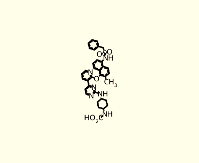 Cc1ccc2c(NS(=O)(=O)Cc3ccccc3)cccc2c1Oc1ncccc1-c1ccnc(N[C@H]2CC[C@H](NC(=O)O)CC2)n1